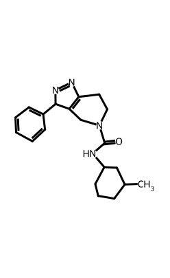 CC1CCCC(NC(=O)N2CCC3=C(C2)C(c2ccccc2)N=N3)C1